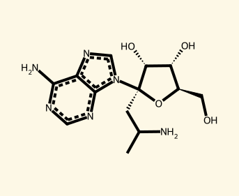 CC(N)C[C@@]1(n2cnc3c(N)ncnc32)O[C@H](CO)[C@@H](O)[C@H]1O